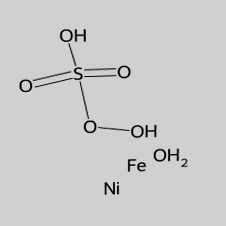 O.O=S(=O)(O)OO.[Fe].[Ni]